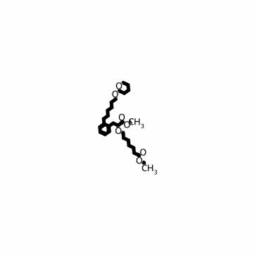 CCOC(=O)CCCCCCOC(Cc1ccccc1CCCCCCOC1CCCCO1)C(=O)OC